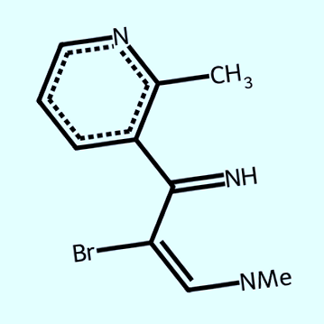 CN/C=C(/Br)C(=N)c1cccnc1C